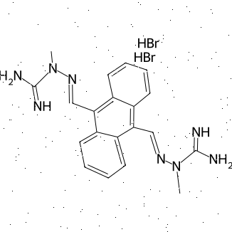 Br.Br.CN(N=Cc1c2ccccc2c(C=NN(C)C(=N)N)c2ccccc12)C(=N)N